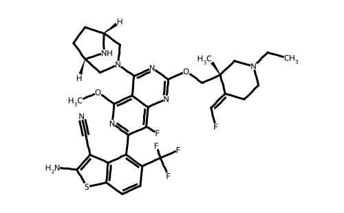 CCN1CC/C(=C\F)[C@](C)(COc2nc(N3C[C@H]4CC[C@@H](C3)N4)c3c(OC)nc(-c4c(C(F)(F)F)ccc5sc(N)c(C#N)c45)c(F)c3n2)C1